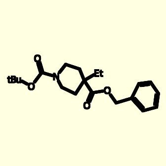 CCC1(C(=O)OCc2ccccc2)CCN(C(=O)OC(C)(C)C)CC1